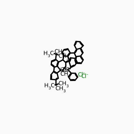 CCCC1=Cc2c(-c3c4ccccc4cc4ccccc34)cccc2C1c1c(C(C)(C)C)ccc2c1[CH]([Zr+2][SiH](c1ccccc1)c1ccccc1)c1cc(C(C)(C)C)ccc1-2.[Cl-].[Cl-]